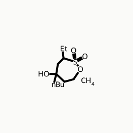 C.CCCCC1(O)CCOS(=O)(=O)C(CC)C1